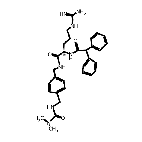 CN(C)C(=O)NCc1ccc(CNC(=O)[C@@H](CCCNC(=N)N)NC(=O)C(c2ccccc2)c2ccccc2)cc1